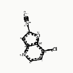 [C-]#[N+]c1cc2nccc(Cl)c2o1